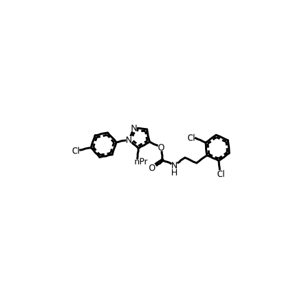 CCCc1c(OC(=O)NCCc2c(Cl)cccc2Cl)cnn1-c1ccc(Cl)cc1